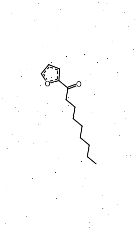 CCCCCCCCC(=O)c1ccco1